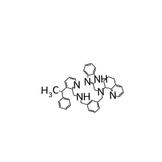 CC(c1ccccc1)c1cccnc1CNCc1cccc(CN(Cc2nc3ccccc3[nH]2)C2CCCc3cccnc32)c1